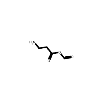 NCCC(=O)OC=O